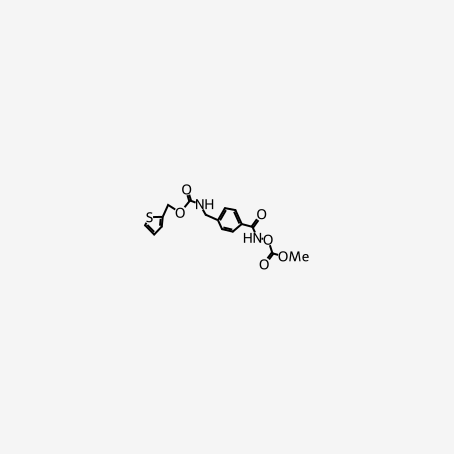 COC(=O)ONC(=O)c1ccc(CNC(=O)OCc2cccs2)cc1